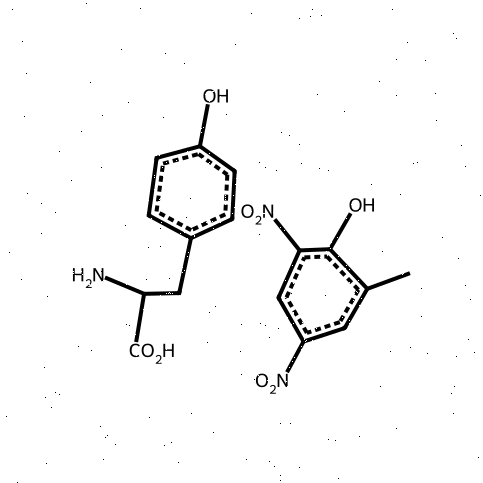 Cc1cc([N+](=O)[O-])cc([N+](=O)[O-])c1O.NC(Cc1ccc(O)cc1)C(=O)O